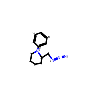 [N-]=[N+]=NCC1CCCCN1c1ccccc1